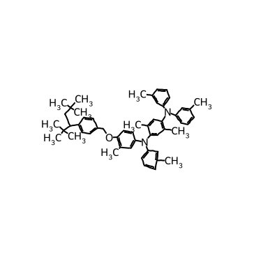 Cc1cccc(N(c2cccc(C)c2)c2cc(C)c(N(c3cccc(C)c3)c3ccc(OCc4ccc(C(CC(C)(C)C)C(C)(C)C)cc4)c(C)c3)cc2C)c1